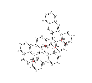 c1ccc(-c2cc3ccccc3cc2N(c2ccccc2)c2ccc3c(c2)C2(c4ccccc4-c4cccc5cccc2c45)c2cccc4cccc-3c24)cc1